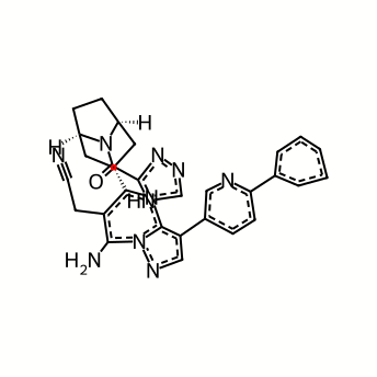 N#CCc1c([C@@H]2C[C@H]3CC[C@@H](C2)N3C(=O)c2nnc[nH]2)nc2c(-c3ccc(-c4ccccc4)nc3)cnn2c1N